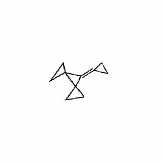 C1CC1=C1C2(CC2)C12CC2